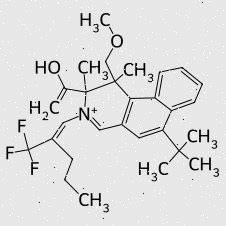 C=C(O)C1(C)[N+](/C=C(\CCC)C(F)(F)F)=Cc2cc(C(C)(C)C)c3ccccc3c2C1(C)COC